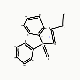 CC/C=C/P(=O)(c1ccccc1)c1ccccc1